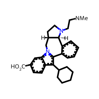 CNCCN1CC[C@H]2Cn3c(c(C4CCCCC4)c4ccc(C(=O)O)cc43)-c3ccccc3[C@@H]21